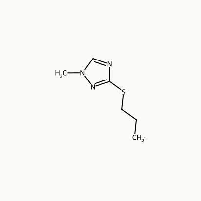 [CH2]CCSc1ncn(C)n1